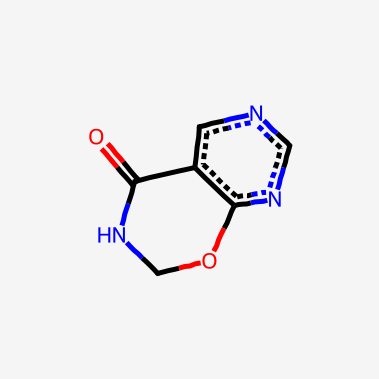 O=C1NCOc2ncncc21